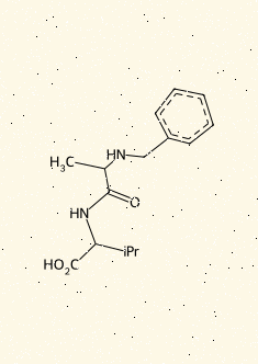 CC(NCc1ccccc1)C(=O)NC(C(=O)O)C(C)C